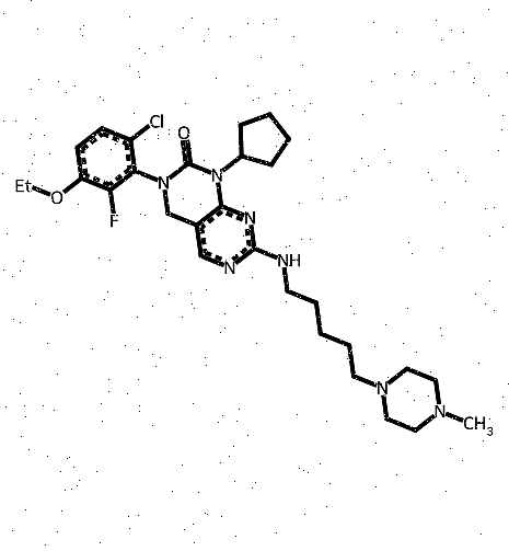 CCOc1ccc(Cl)c(N2Cc3cnc(NCCCCCN4CCN(C)CC4)nc3N(C3CCCC3)C2=O)c1F